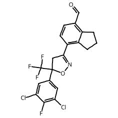 O=Cc1ccc(C2=NOC(c3cc(Cl)c(F)c(Cl)c3)(C(F)(F)F)C2)c2c1CCC2